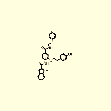 O=C(NCCc1ccncc1)c1ccc(NC(=O)c2cc3ccccc3[nH]2)c(OCCc2ccc(O)cc2)c1